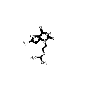 Cc1cc2c([nH]1)c(=O)[nH]c(=S)n2CCOC(C)C